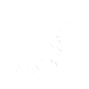 COc1ccccc1-c1ccc2cnc(Nc3cnn(C4CCN(OC(=O)OC(C)(C)C)CC4)c3)nn12